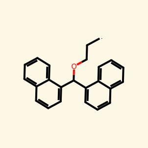 [CH2]CCOC(c1cccc2ccccc12)c1cccc2ccccc12